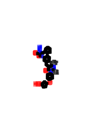 CCCc1nc(CC)n(-c2ccc(OC3CCC(O)C3)cc2)c(=O)c1Cc1ccc(-c2ccccc2-c2noc(=O)[nH]2)cc1